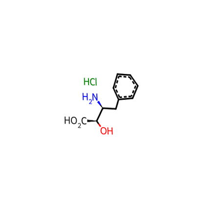 Cl.N[C@@H](Cc1ccccc1)[C@@H](O)C(=O)O